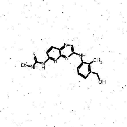 CCNC(=S)Nc1ccc2ncc(Nc3cccc(CO)c3C)nc2n1